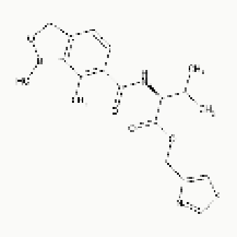 Cc1c(C(=O)N[C@H](C(=O)OCc2cscn2)C(C)C)ccc2c1B(O)OC2